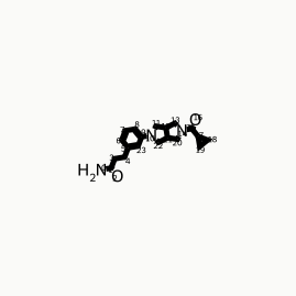 NC(=O)CCc1cccc(N2CC3CN(C(=O)C4CC4)CC3C2)c1